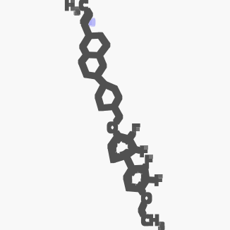 C/C=C/C1CCC2CC(C3CCC(COc4ccc(-c5ccc(OCC)c(F)c5F)c(F)c4F)CC3)CCC2C1